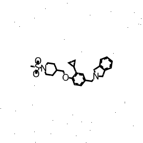 CS(=O)(=O)N1CCC(COc2ccc(CN3Cc4ccccc4C3)cc2C2CC2)CC1